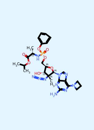 CC(C)OC(=O)[C@H](C)NP(=O)(OC[C@H]1O[C@@H](n2cnc3c(N4CCC4)nc(N)nc32)[C@](C)(N=[N+]=[N-])[C@@H]1O)Oc1ccccc1